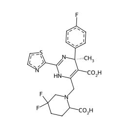 C[C@@]1(c2ccc(F)cc2)N=C(c2nccs2)NC(CN2CC(F)(F)CCC2C(=O)O)=C1C(=O)O